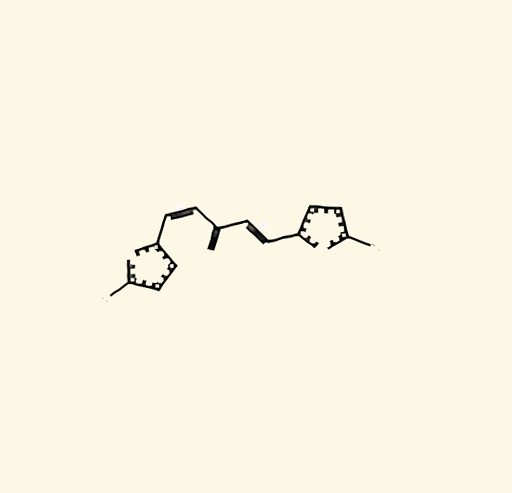 O=C(/C=C\c1ccc([N+](=O)[O-])o1)/C=C/c1ccc([N+](=O)[O-])o1